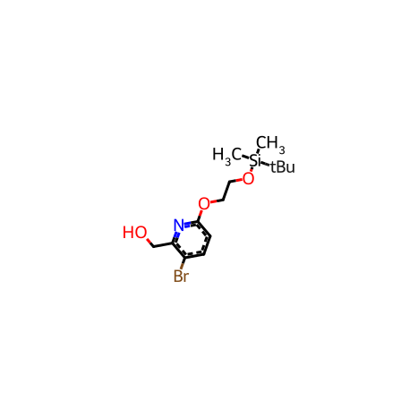 CC(C)(C)[Si](C)(C)OCCOc1ccc(Br)c(CO)n1